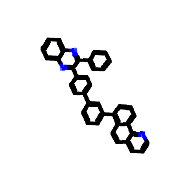 c1ccc(-c2nc3ccccc3nc2-c2ccc(-c3cccc(-c4cccc5c4ccc4cccnc45)c3)cc2)cc1